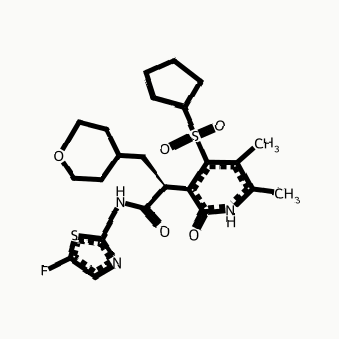 Cc1[nH]c(=O)c([C@H](CC2CCOCC2)C(=O)Nc2ncc(F)s2)c(S(=O)(=O)C2CCCC2)c1C